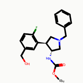 CC(C)(C)OC(=O)N[C@H]1CN(Cc2ccccc2)C[C@@H]1c1cc(CO)ccc1F